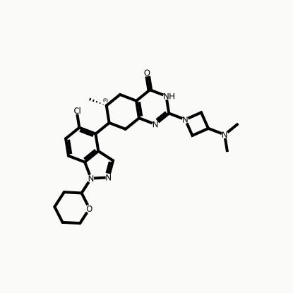 C[C@@H]1Cc2c(nc(N3CC(N(C)C)C3)[nH]c2=O)CC1c1c(Cl)ccc2c1cnn2C1CCCCO1